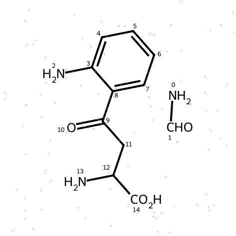 NC=O.Nc1ccccc1C(=O)CC(N)C(=O)O